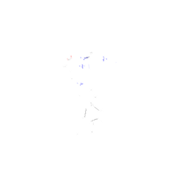 Cc1cc(CF)ccc1CC1CN(CC(CO)N/N=C\CN)C1